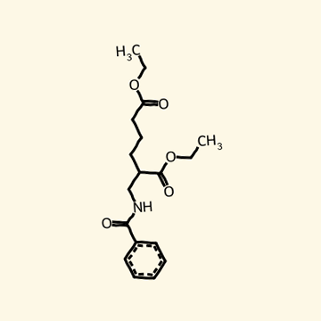 CCOC(=O)CCCC(CNC(=O)c1ccccc1)C(=O)OCC